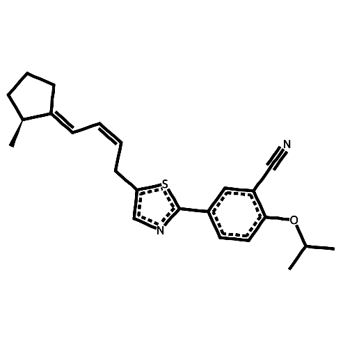 CC(C)Oc1ccc(-c2ncc(C/C=C\C=C3/CCC[C@@H]3C)s2)cc1C#N